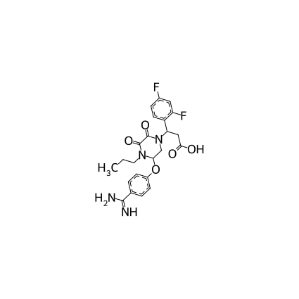 CCCN1C(=O)C(=O)N(C(CC(=O)O)c2ccc(F)cc2F)CC1Oc1ccc(C(=N)N)cc1